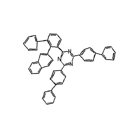 c1ccc(-c2ccc(-c3nc(-c4ccc(-c5ccccc5)cc4)nc(-c4cccc(-c5ccccc5)c4-c4ccc5ccccc5c4)n3)cc2)cc1